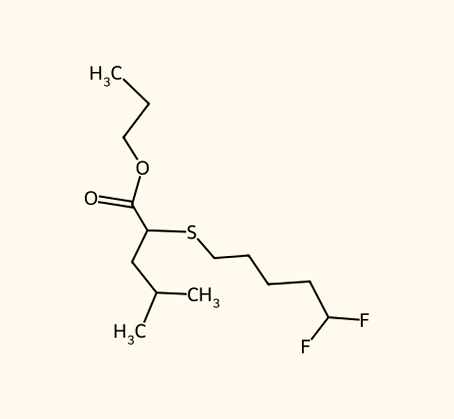 CCCOC(=O)C(CC(C)C)SCCCCC(F)F